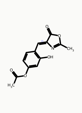 CC(=O)Oc1ccc(/C=C2\N=C(C)OC2=O)c(O)c1